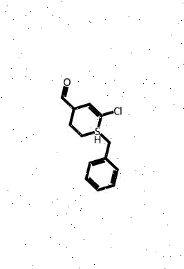 O=CC1C=C(Cl)[SH](Cc2ccccc2)CC1